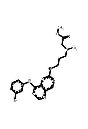 COC(=O)CN(C)CCCNc1ncc2ncnc(Nc3cccc(Br)c3)c2n1